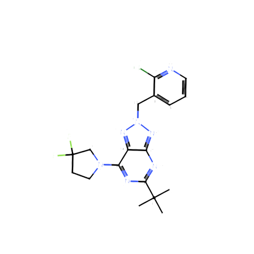 CC(C)(C)c1nc(N2CCC(F)(F)C2)c2nn(Cc3cccnc3Cl)nc2n1